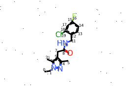 CCn1nc(C)c(CC(=O)NCc2ccc(F)cc2Cl)c1C